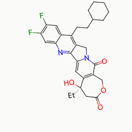 CC[C@@]1(O)CC(=O)OCc2c1cc1n(c2=O)Cc2c-1nc1cc(F)c(F)cc1c2CCC1CCCCC1